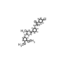 COc1ccc(CN2CCN(c3cccc(CNC(=O)c4ccc(Cl)cc4)c3)CC2C)cc1OC